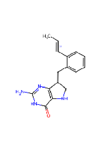 C/C=C/c1ccccc1CC1CNc2c1nc(N)[nH]c2=O